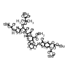 BOC(=O)C1=C(C[N+]2(CCn3sc4cc(OC(=O)OC(C)(C)C)c(OC(=O)OC(C)(C)C)cc4c3=O)CCCC2)[C@H](C)S[C@@H]2[C@H](NC(=O)/C(=N\OC(C)(C)C(=O)OC(C)(C)C)c3csc(NC(=O)OC(C)(C)C)n3)C(=O)N12